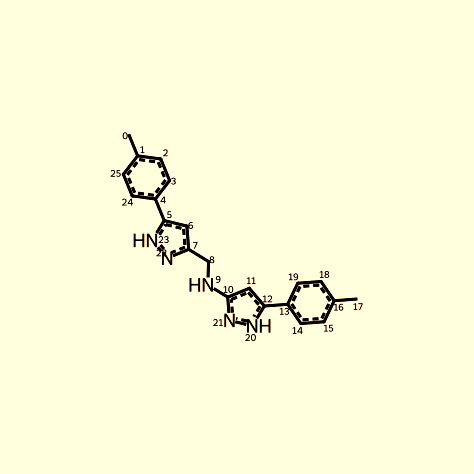 Cc1ccc(-c2cc(CNc3cc(-c4ccc(C)cc4)[nH]n3)n[nH]2)cc1